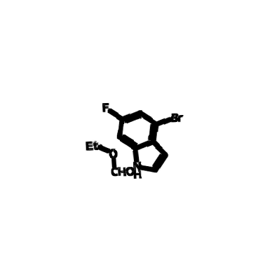 CCOC=O.Fc1cc(Br)c2cc[nH]c2c1